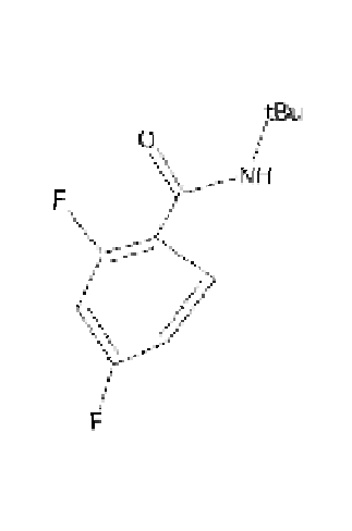 CC(C)(C)NC(=O)c1ccc(F)cc1F